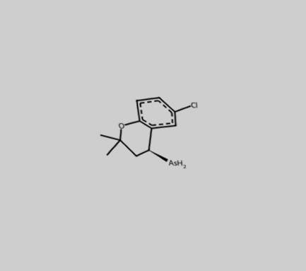 CC1(C)C[C@H]([AsH2])c2cc(Cl)ccc2O1